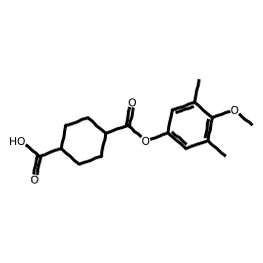 COc1c(C)cc(OC(=O)C2CCC(C(=O)O)CC2)cc1C